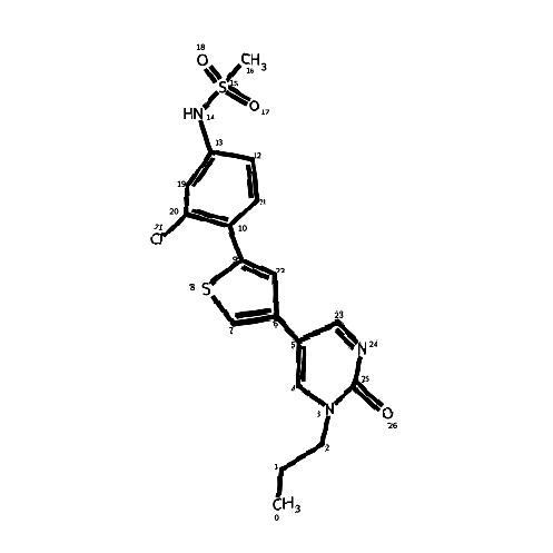 CCCn1cc(-c2csc(-c3ccc(NS(C)(=O)=O)cc3Cl)c2)cnc1=O